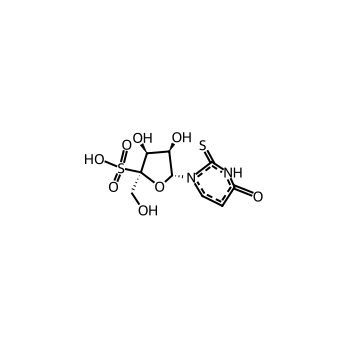 O=c1ccn([C@@H]2O[C@@](CO)(S(=O)(=O)O)[C@@H](O)[C@H]2O)c(=S)[nH]1